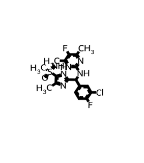 Cc1nc(C(Nc2nc(C)c(F)c(C)n2)c2ccc(F)c(Cl)c2)[nH]c1S(C)(=N)=O